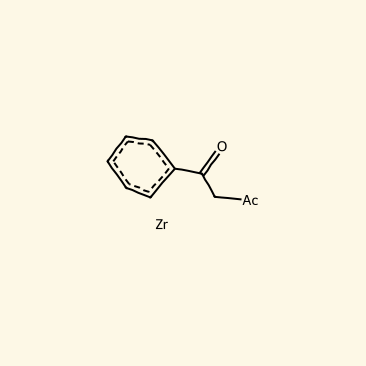 CC(=O)CC(=O)c1ccccc1.[Zr]